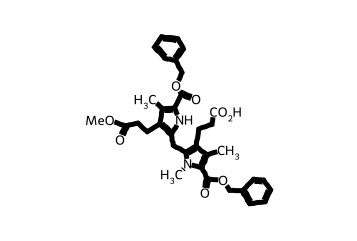 COC(=O)CCc1c(Cc2c(CCC(=O)O)c(C)c(C(=O)OCc3ccccc3)n2C)[nH]c(C(=O)OCc2ccccc2)c1C